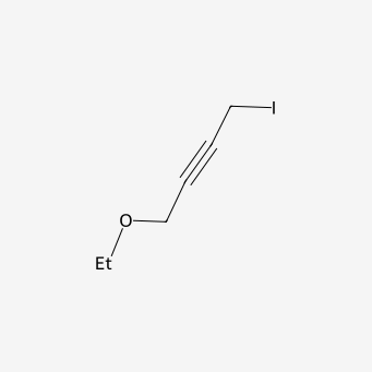 CCOCC#CCI